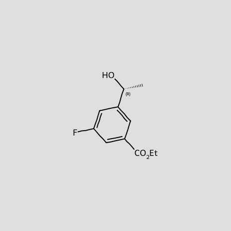 CCOC(=O)c1cc(F)cc([C@@H](C)O)c1